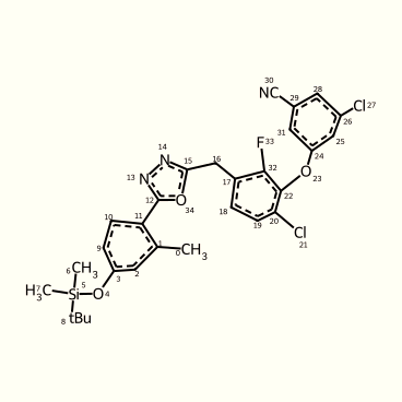 Cc1cc(O[Si](C)(C)C(C)(C)C)ccc1-c1nnc(Cc2ccc(Cl)c(Oc3cc(Cl)cc(C#N)c3)c2F)o1